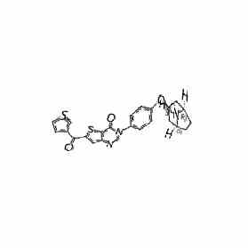 CN1[C@@H]2CC[C@H]1C[C@@H](Oc1ccc(-n3cnc4cc(C(=O)c5ccsc5)sc4c3=O)cc1)C2